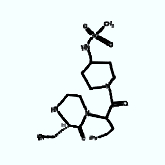 CC(C)CC(C(=O)N1CCC(NS(C)(=O)=O)CC1)N1CCN[C@@H](CC(C)C)C1=O